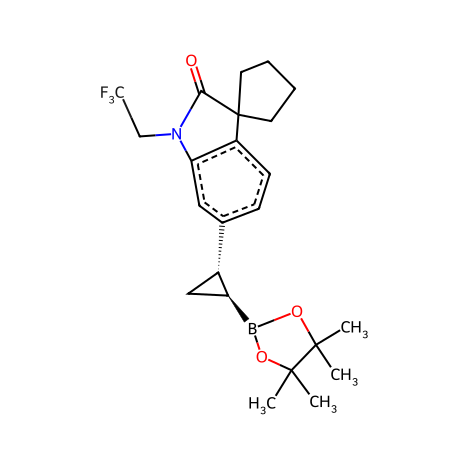 CC1(C)OB([C@H]2C[C@@H]2c2ccc3c(c2)N(CC(F)(F)F)C(=O)C32CCCC2)OC1(C)C